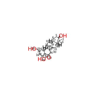 CC1(C)[C@H](O)CC[C@]2(C)[C@H]3CC=C4[C@@H]5C[C@](C)(CO)CC[C@]5(C(=O)O)CC[C@@]4(C)[C@]3(C)CC[C@@H]12